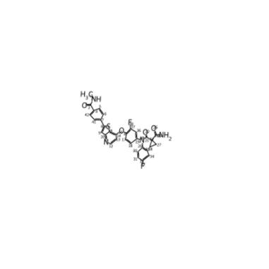 CNC(=O)c1ccc(-c2cc3nccc(Oc4ccc(N(C(=O)C5(C(N)=O)CC5)c5ccc(F)cc5)cc4F)c3s2)cc1